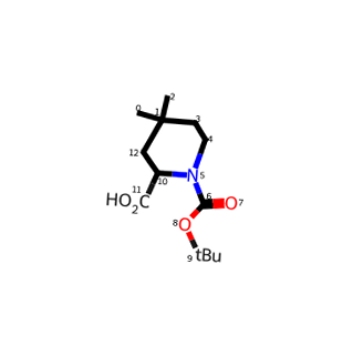 CC1(C)CCN(C(=O)OC(C)(C)C)C(C(=O)O)C1